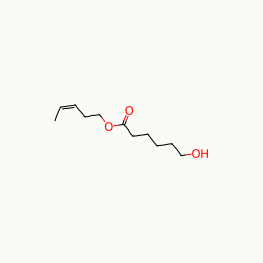 C/C=C\CCOC(=O)CCCCCO